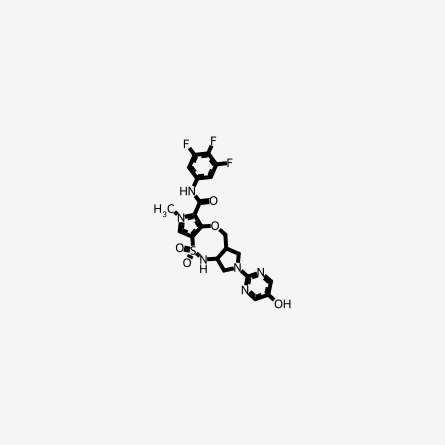 Cn1cc2c(c1C(=O)Nc1cc(F)c(F)c(F)c1)OCC1CN(c3ncc(O)cn3)CC1NS2(=O)=O